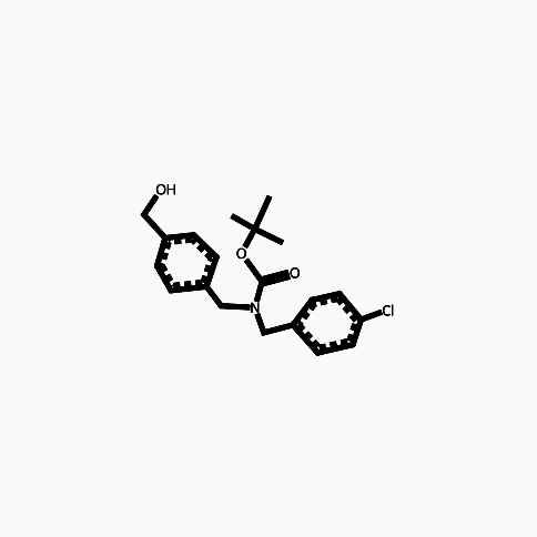 CC(C)(C)OC(=O)N(Cc1ccc(Cl)cc1)Cc1ccc(CO)cc1